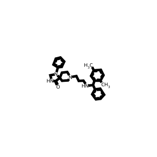 Cc1ccc(C)c(C(NCCCN2CCC3(CC2)C(=O)NCN3c2ccccc2)c2ccccc2)c1